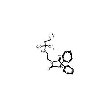 CCCC(C)(C)NCCN1C(=O)NC(c2ccccc2)(c2ccccc2)C1=O